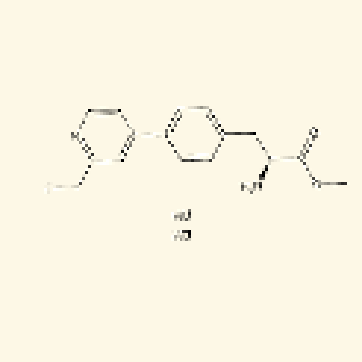 COC(=O)[C@@H](N)Cc1ccc(-c2ccnc(CF)c2)cc1.Cl.Cl